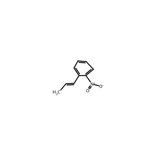 [CH2]C=Cc1ccccc1[N+](=O)[O-]